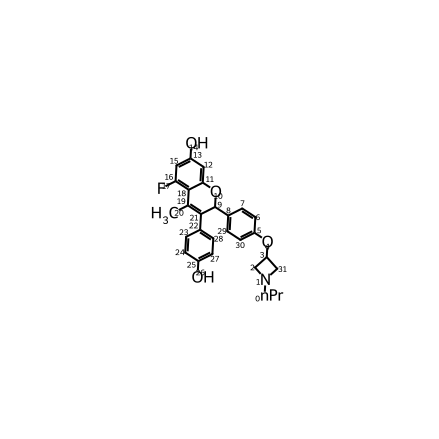 CCCN1CC(Oc2ccc(C3Oc4cc(O)cc(F)c4C(C)=C3c3ccc(O)cc3)cc2)C1